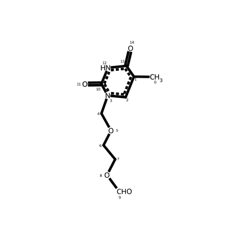 Cc1cn(COCCOC=O)c(=O)[nH]c1=O